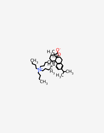 CC(C)c1ccc2c(c1)CC[C@H]1[C@@](C)(C(=O)[O-])CCC[C@]21C.CCCC[N+](CCCC)(CCCC)CCCC